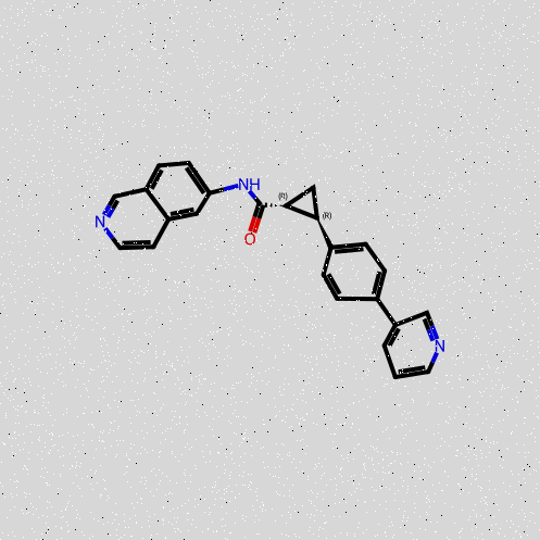 O=C(Nc1ccc2cnccc2c1)[C@@H]1C[C@H]1c1ccc(-c2cccnc2)cc1